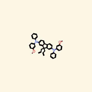 C=CCC1(CC=C)c2cc(N(c3ccccc3)c3cccc(OC)c3)ccc2-c2ccc(N(c3ccccc3)c3cccc(OC)c3)cc21